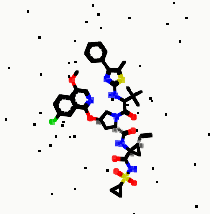 C=C[C@@H]1C[C@]1(NC(=O)[C@@H]1C[C@@H](Oc2ncc(OC)c3ccc(Cl)cc23)CN1C(=O)C(Nc1nc(-c2ccccc2)c(C)s1)C(C)(C)C)C(=O)NS(=O)(=O)C1CC1